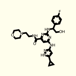 O=C(NCCN1CCOCC1)c1cc(Nc2cc(C3CC3)[nH]n2)nc(NC(CO)c2ccc(F)cc2)n1